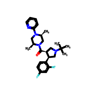 C[C@@H]1CN(C(=O)[C@@H]2CN(C(C)(C)C)C[C@H]2c2ccc(F)cc2F)[C@@H](C)CN1c1ccccn1